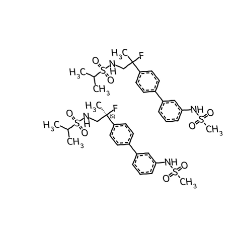 CC(C)S(=O)(=O)NCC(C)(F)c1ccc(-c2cccc(NS(C)(=O)=O)c2)cc1.CC(C)S(=O)(=O)NC[C@@](C)(F)c1ccc(-c2cccc(NS(C)(=O)=O)c2)cc1